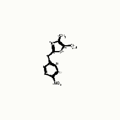 Cc1nc(Cc2ccc([N+](=O)[O-])cc2)sc1C